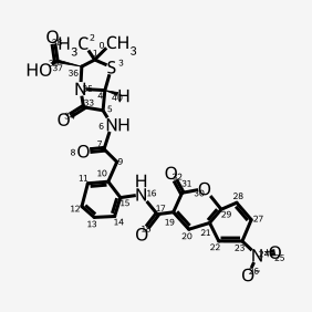 CC1(C)S[C@@H]2C(NC(=O)Cc3ccccc3NC(=O)c3cc4cc([N+](=O)[O-])ccc4oc3=O)C(=O)N2[C@H]1C(=O)O